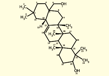 CC1(C)CCC2(CO)CC[C@@]3(C)C(=CCC4[C@@]5(C)CCC(O)C(C)(C)C5CC[C@]43C)[C@@H]2C1